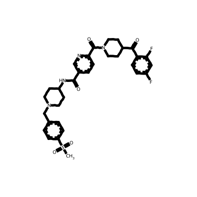 CS(=O)(=O)c1ccc(CN2CCC(NC(=O)c3ccc(C(=O)N4CCC(C(=O)c5ccc(F)cc5F)CC4)nc3)CC2)cc1